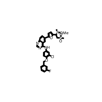 CON(C)C(CS(C)(=O)=O)c1ccc(-c2ccc3ncnc(Nc4ccc(OCc5cccc(F)c5)c(Cl)c4)c3c2)o1